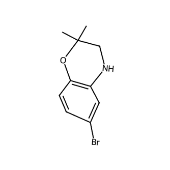 CC1(C)CNc2cc(Br)ccc2O1